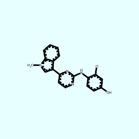 Cn1cc(-c2ccnc(Nc3ccc(O)cc3Cl)n2)c2ccccc21